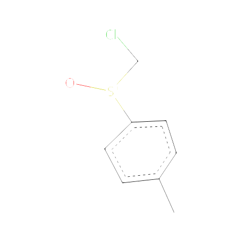 Cc1ccc([S+]([O-])CCl)cc1